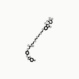 O=C(COc1ccc(Oc2nc3ccc(F)cc3s2)cc1)NCCCOCCOCCOCCOc1ccc2c(c1)C(=O)N(C1CCC(=O)NC1=O)C2=O